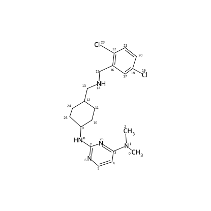 CN(C)c1ccnc(NC2CCC(CNCc3cc(Cl)ccc3Cl)CC2)n1